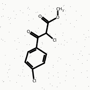 COC(=O)C(Cl)C(=O)c1ccc(Cl)cc1